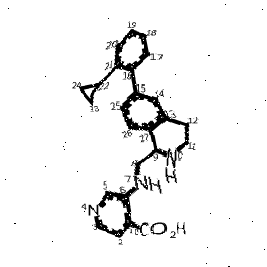 O=C(O)c1ccncc1NCC1NCCc2cc(-c3ccccc3C3CC3)ccc21